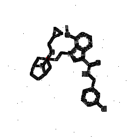 COc1cccc2c(C(=O)NCc3cccc(Cl)c3)cn(CCCN3C4CCC3CC(OCC3CC3)C4)c12